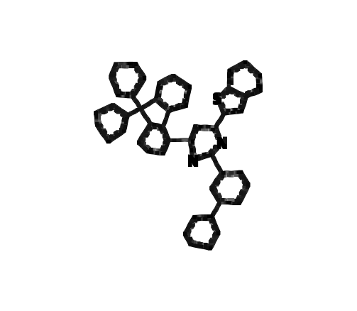 c1ccc(-c2cccc(-c3nc(-c4cc5ccccc5s4)cc(-c4cccc5c4-c4ccccc4C5(c4ccccc4)c4ccccc4)n3)c2)cc1